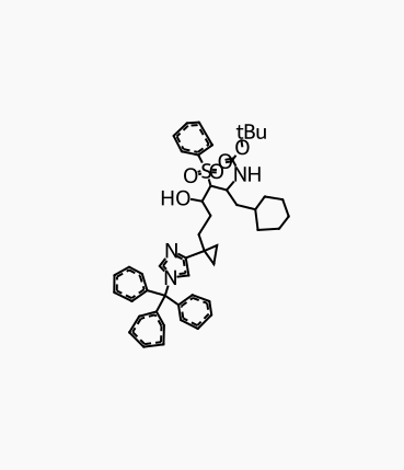 CC(C)(C)OC(=O)NC(CC1CCCCC1)C(C(O)CCC1(c2cn(C(c3ccccc3)(c3ccccc3)c3ccccc3)cn2)CC1)S(=O)(=O)c1ccccc1